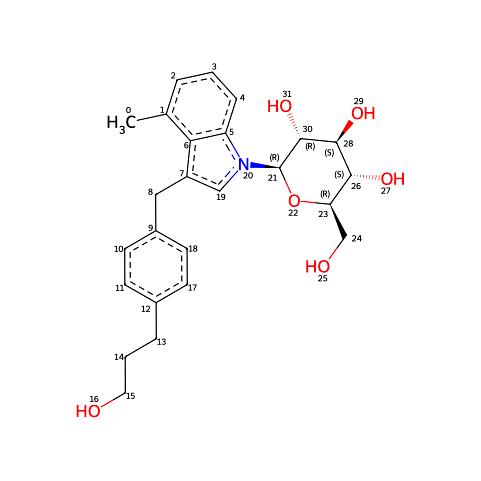 Cc1cccc2c1c(Cc1ccc(CCCO)cc1)cn2[C@@H]1O[C@H](CO)[C@@H](O)[C@H](O)[C@H]1O